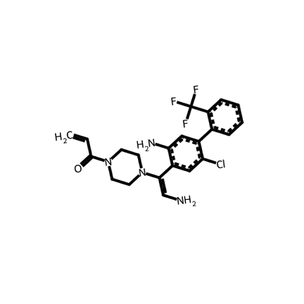 C=CC(=O)N1CCN(/C(=C/N)c2cc(Cl)c(-c3ccccc3C(F)(F)F)cc2N)CC1